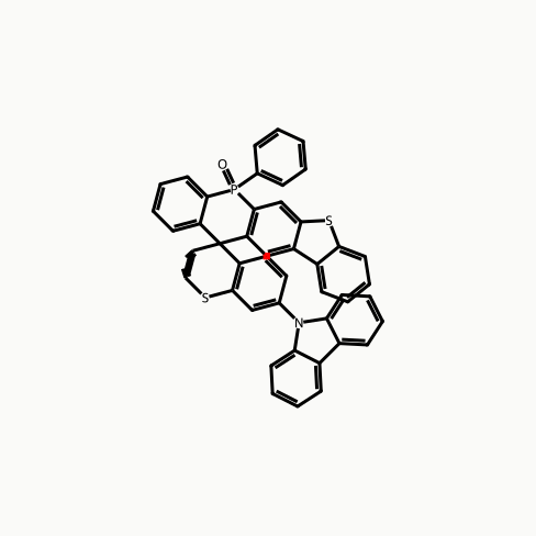 O=P1(c2ccccc2)c2ccccc2C2(c3ccccc3Sc3cc(-n4c5ccccc5c5ccccc54)ccc32)c2cc3c(cc21)sc1ccccc13